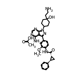 CC(=O)O.COc1cc(-c2nn(C3CCC(O)(CCN)CC3)c3ncnc(N)c23)ccc1NC(=O)[C@@H]1C[C@H]1c1ccccc1